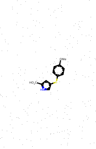 COc1ccc(Sc2c[nH]c(C(=O)O)c2)cc1